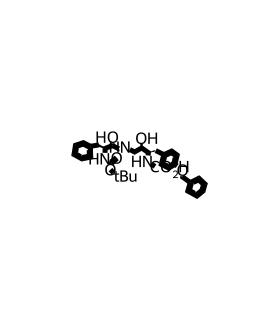 CC(C)(C)OC(=O)N[C@@H](Cc1ccccc1)C(O)CNC[C@@H](O)[C@H](Cc1ccc(OCc2ccccc2)cc1)NC(=O)O